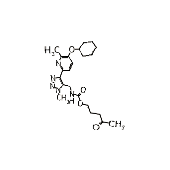 CC(=O)CCCOC(=O)NCc1c(-c2ccc(OC3CCCCC3)c(C)n2)nnn1C